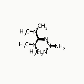 CN(C)C(=NN(N)N)N(C)C